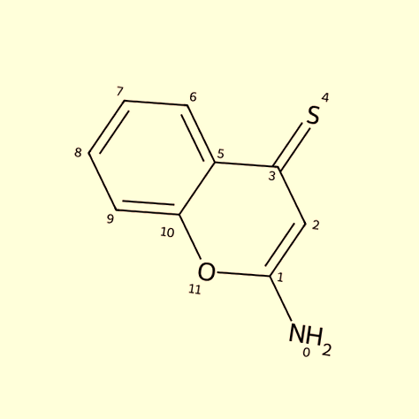 Nc1cc(=S)c2ccccc2o1